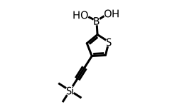 C[Si](C)(C)C#Cc1csc(B(O)O)c1